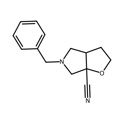 N#CC12CN(Cc3ccccc3)CC1CCO2